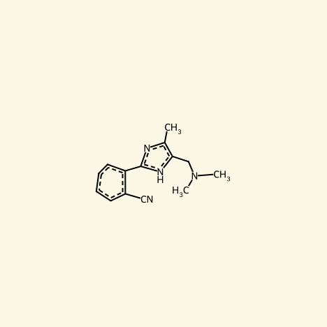 Cc1nc(-c2ccccc2C#N)[nH]c1CN(C)C